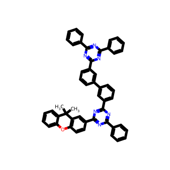 CC1(C)c2ccccc2Oc2ccc(-c3nc(-c4ccccc4)nc(-c4cccc(-c5cccc(-c6nc(-c7ccccc7)nc(-c7ccccc7)n6)c5)c4)n3)cc21